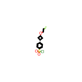 O=S(=O)(Cl)c1ccc([C@H]2C[C@H](OCCF)C2)cc1